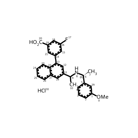 COc1cccc([C@@H](C)NC(C)c2cc(-c3cc(F)cc(C(=O)O)c3)c3ccccc3c2)c1.Cl